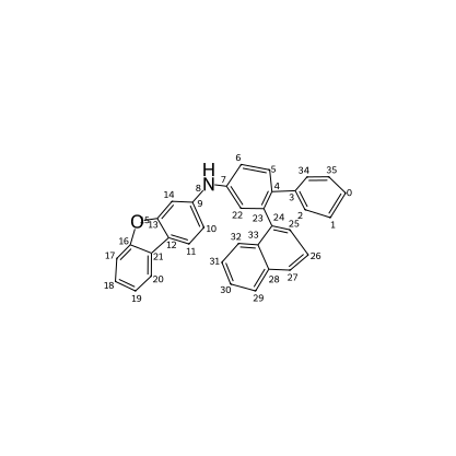 c1ccc(-c2ccc(Nc3ccc4c(c3)oc3ccccc34)cc2-c2cccc3ccccc23)cc1